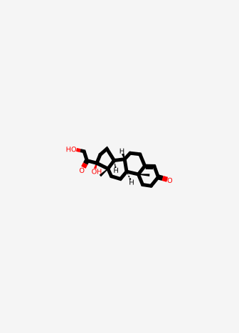 C[C@]12CCC(=O)C=C1CC[C@@H]1[C@@H]2CC[C@@]2(C)[C@H]1CC[C@@]2(O)C(=O)CO